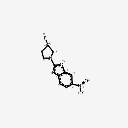 O=[N+]([O-])c1ccc2nc(N3CC[C@@H](F)C3)oc2c1